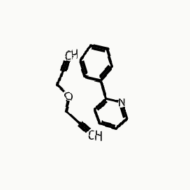 C#CCOCC#C.c1ccc(-c2ccccn2)cc1